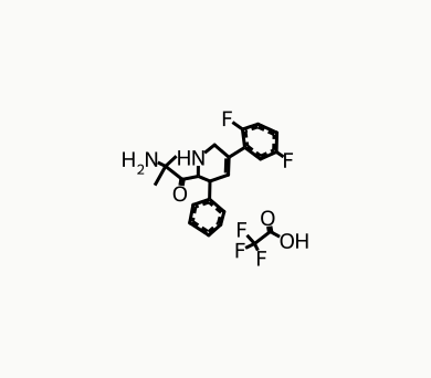 CC(C)(N)C(=O)C1NCC(c2cc(F)ccc2F)=CC1c1ccccc1.O=C(O)C(F)(F)F